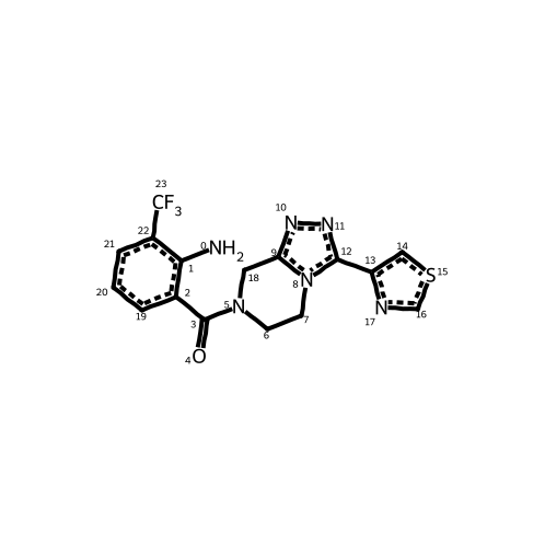 Nc1c(C(=O)N2CCn3c(nnc3-c3cscn3)C2)cccc1C(F)(F)F